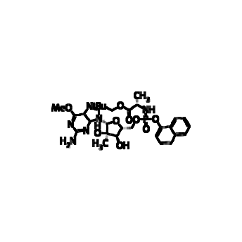 COC1=NC(N)=NC2C1N=CN2[C@@H]1O[C@H](CO[P@](=O)(N[C@@H](C)C(=O)OCC(C)(C)C)Oc2cccc3ccccc23)[C@@H](O)[C@@]1(C)O